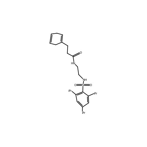 CC(C)c1cc(C(C)C)c(S(=O)(=O)NCCNC(=O)CCC2=CCC=CC2)c(C(C)C)c1